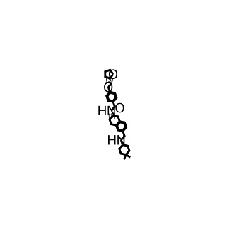 CC1(C)CCC(NCc2ccc3c(c2)CC[C@H](NC(=O)c2ccc(OC[C@@H]4CCCO4)cc2)C3)CC1